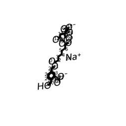 O=C(CCCCCC(=O)ON1C(=O)CC(S(=O)(=O)[O-])C1=O)OCc1ccc(CO)c([N+](=O)[O-])c1.[Na+]